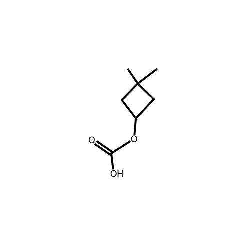 CC1(C)CC(OC(=O)O)C1